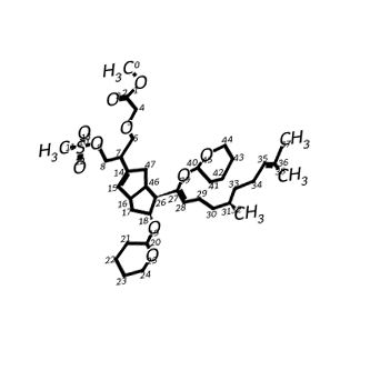 COC(=O)COCC(COS(C)(=O)=O)C1=CC2C[C@@H](OC3CCCCO3)[C@H](C(=CCC[C@H](C)CCC=C(C)C)OC3CCCCO3)C2C1